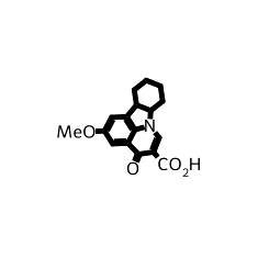 COc1cc2c3c(c1)c(=O)c(C(=O)O)cn3C1CCCCC21